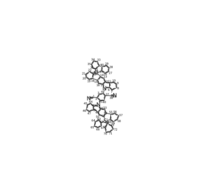 N#Cc1cc(-n2c3ccccc3c3cc4c(cc32)-c2ccccc2[Si]4(c2ccccc2)c2ccccc2)c(C#N)cc1-n1c2ccccc2c2cc3c(cc21)-c1ccccc1[Si]3(c1ccccc1)c1ccccc1